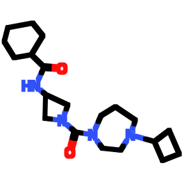 O=C(NC1CN(C(=O)N2CCCN(C3CCC3)CC2)C1)C1CCCCC1